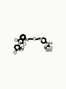 CC(C)(C)OC(=O)NC1CCN(CCOCCNc2cccc3c2C(=O)N(C2CCC(=O)NC2=O)C3=O)CC1